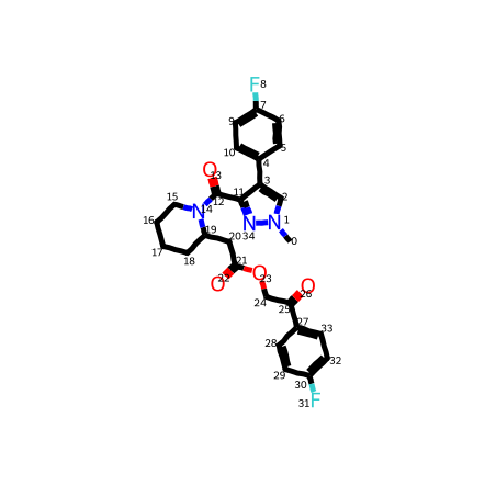 Cn1cc(-c2ccc(F)cc2)c(C(=O)N2CCCCC2CC(=O)OCC(=O)c2ccc(F)cc2)n1